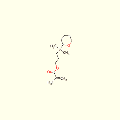 C=C(C)C(=O)OCCC[Si](C)(C)C1CCCCO1